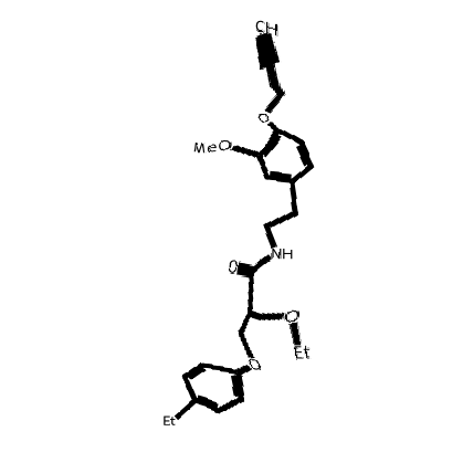 C#CCOc1ccc(CCNC(=O)C(COc2ccc(CC)cc2)OCC)cc1OC